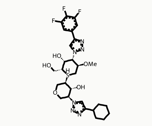 CO[C@H]1C[SH]([C@@H]2COC[C@H](n3cc(C4CCCCC4)nn3)[C@H]2O)[C@H](CO)[C@H](O)[C@@H]1n1cc(-c2cc(F)c(F)c(F)c2)nn1